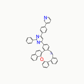 C1=C\c2ccc(-c3cc(-c4ccc(-c5cccnc5)cc4)nc(-c4ccccc4)n3)cc2-c2ccc3ccccc3c2Oc2ccccc2-c2ccccc2/1